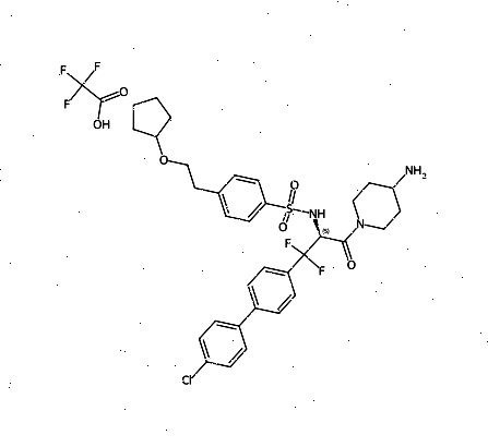 NC1CCN(C(=O)[C@H](NS(=O)(=O)c2ccc(CCOC3CCCC3)cc2)C(F)(F)c2ccc(-c3ccc(Cl)cc3)cc2)CC1.O=C(O)C(F)(F)F